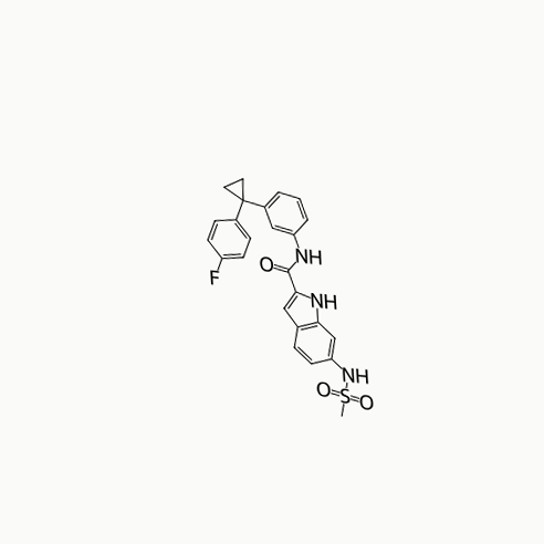 CS(=O)(=O)Nc1ccc2cc(C(=O)Nc3cccc(C4(c5ccc(F)cc5)CC4)c3)[nH]c2c1